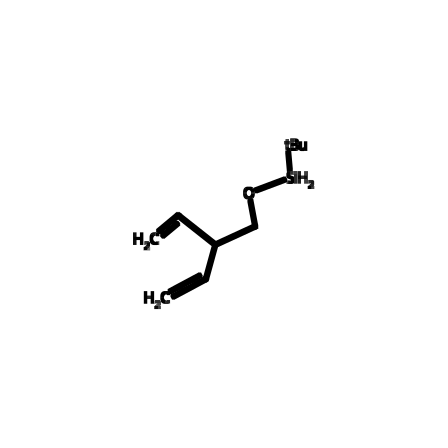 C=CC(C=C)CO[SiH2]C(C)(C)C